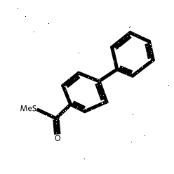 CSC(=O)c1ccc(-c2ccccc2)cc1